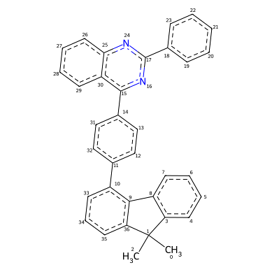 CC1(C)c2ccccc2-c2c(-c3ccc(-c4nc(-c5ccccc5)nc5ccccc45)cc3)cccc21